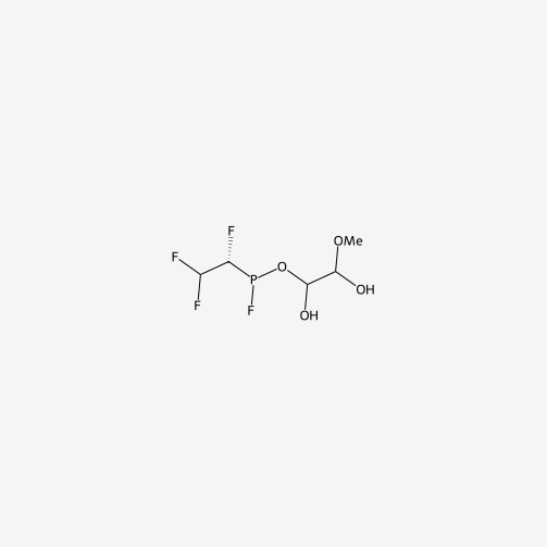 COC(O)C(O)OP(F)[C@@H](F)C(F)F